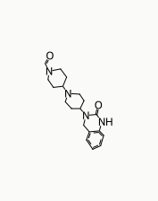 O=CN1CCC(N2CCC(N3Cc4ccccc4NC3=O)CC2)CC1